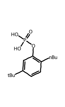 CCCCc1ccc(C(C)(C)C)cc1OP(=O)(O)O